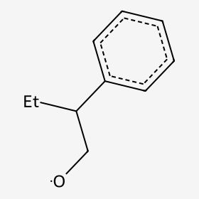 CCC(C[O])c1ccccc1